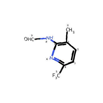 Cc1ccc(C(F)(F)F)nc1NC=O